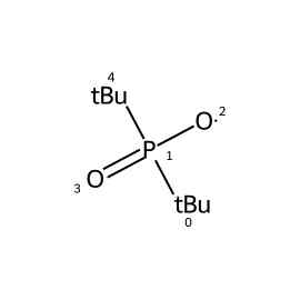 CC(C)(C)P([O])(=O)C(C)(C)C